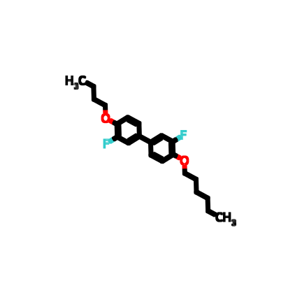 CCCCCCOc1ccc(-c2ccc(OCCCC)c(F)c2)cc1F